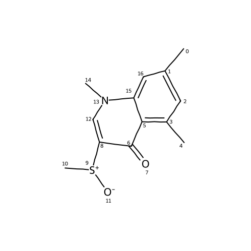 Cc1cc(C)c2c(=O)c([S+](C)[O-])cn(C)c2c1